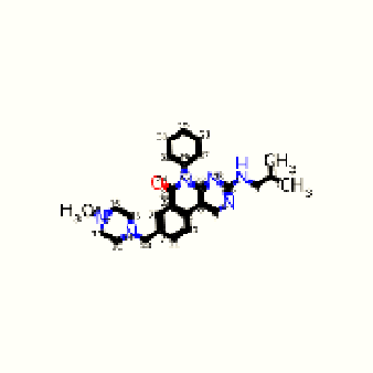 CC(C)CNc1ncc2c3ccc(CN4CCN(C)CC4)cc3c(=O)n(C3CCCCC3)c2n1